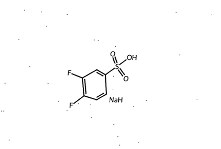 O=S(=O)(O)c1ccc(F)c(F)c1.[NaH]